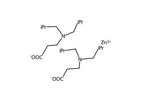 CC(C)CN(CCC(=O)[O-])CC(C)C.CC(C)CN(CCC(=O)[O-])CC(C)C.[Zn+2]